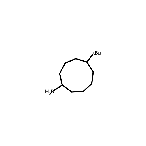 BC1CCCCC(C(C)(C)C)CCC1